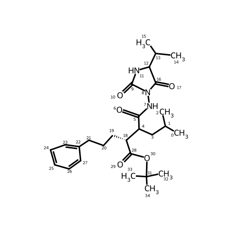 CC(C)CC(C(=O)NN1C(=O)NC(C(C)C)C1=O)[C@@H](CCCc1ccccc1)C(=O)OC(C)(C)C